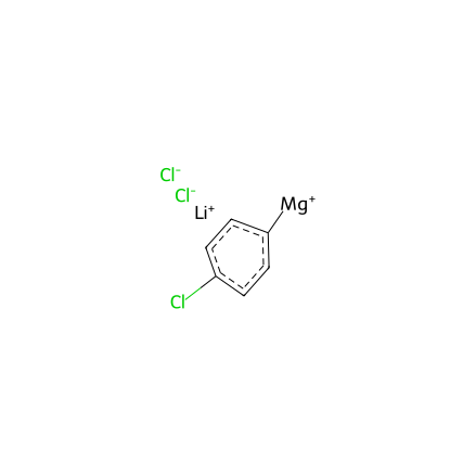 [Cl-].[Cl-].[Li+].[Mg+][c]1ccc(Cl)cc1